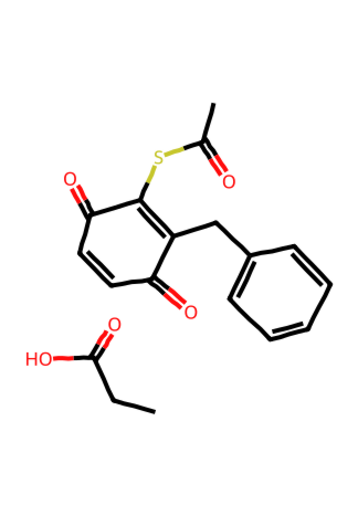 CC(=O)SC1=C(Cc2ccccc2)C(=O)C=CC1=O.CCC(=O)O